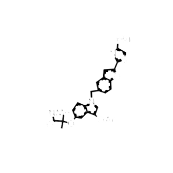 CNC(=O)C(C)(C)Oc1ccc2c(c1)c(OC(C)=O)cn2Cc1ccc2oc(-c3nc(C(C)(C)C)cs3)cc2c1